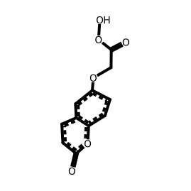 O=C(COc1ccc2oc(=O)ccc2c1)OO